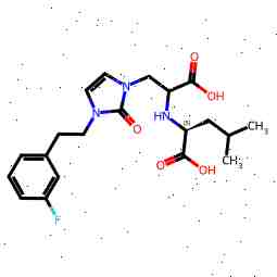 CC(C)C[C@H](NC(Cn1ccn(CCc2cccc(F)c2)c1=O)C(=O)O)C(=O)O